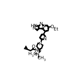 CCOc1cc(-c2ccc(N3CCC(CN(C)C)(NC(=O)CC4CC4)CC3)nc2)c2c3cn[nH]c3nn2c1